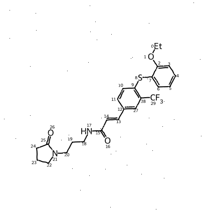 CCOc1ccccc1Sc1ccc(C=CC(=O)NCCCN2CCCC2=O)cc1C(F)(F)F